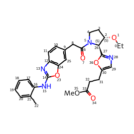 CCO[C@H]1CCN(C(=O)Cc2ccc3nc(Nc4ccccc4C)oc3c2)[C@@H]1c1ncc(CCC(=O)OC)o1